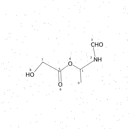 CC(NC=O)OC(=O)CO